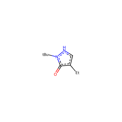 CCc1c[nH]n(C(C)(C)C)c1=O